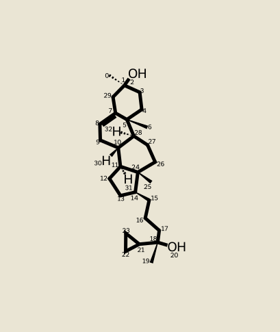 C[C@]1(O)CC[C@@]2(C)C(=CC[C@H]3[C@@H]4CC[C@H](CCC[C@](C)(O)C5CC5)[C@@]4(C)CC[C@@H]32)C1